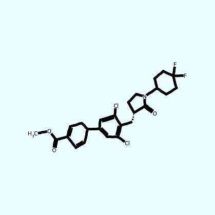 COC(=O)C1=CCC(c2cc(Cl)c(C[C@@H]3CCN(C4CCC(F)(F)CC4)C3=O)c(Cl)c2)C=C1